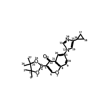 CC1(C)OB(c2coc3ccc(-n4cnc(C5CC5)c4)cc3c2=O)OC1(C)C